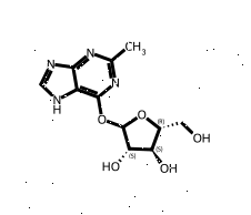 Cc1nc(OC2O[C@H](CO)[C@@H](O)[C@@H]2O)c2[nH]cnc2n1